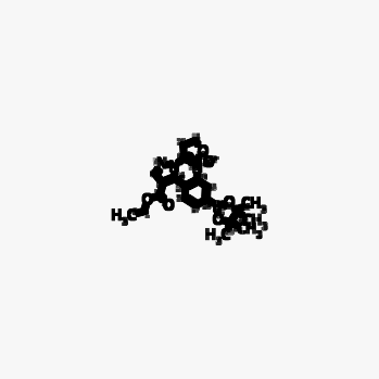 CCOC(=O)c1cnn(C2CCOC2)c1-c1ccc(B2OC(C)(C)C(C)(C)O2)cc1[N+](=O)[O-]